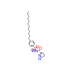 CCCCCCCCCCCCc1ccc(S(=O)(=O)NC(=O)[C@@H]2CCCN2)cc1